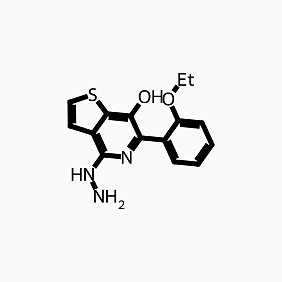 CCOc1ccccc1-c1nc(NN)c2ccsc2c1O